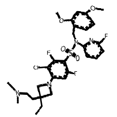 CCC1(CCN(C)C)CN(c2cc(F)c(S(=O)(=O)N(Cc3ccc(OC)cc3OC)c3cccc(F)n3)c(F)c2Cl)C1